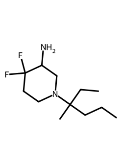 CCCC(C)(CC)N1CCC(F)(F)C(N)C1